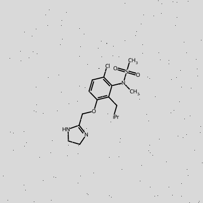 CC(C)Cc1c(OCC2=NCCN2)ccc(Cl)c1N(C)S(C)(=O)=O